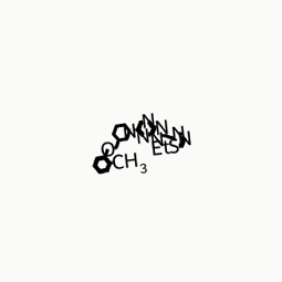 CCn1c(-c2nncs2)nc2ncc(N3CCCC(COc4ccccc4C)C3)nc21